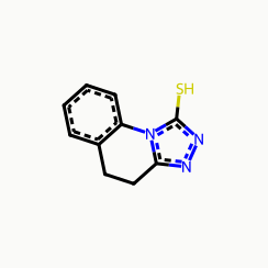 Sc1nnc2n1-c1ccccc1CC2